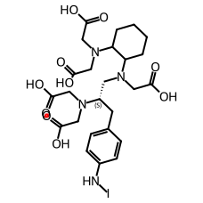 O=C(O)CN(CC(=O)O)C1CCCCC1N(CC(=O)O)C[C@H](Cc1ccc(NI)cc1)N(CC(=O)O)CC(=O)O